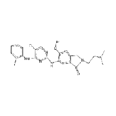 Cc1ccccc1Nc1nc(Nc2cc3c(cc2OC(C)C)CN(CCN(C)C)C3=O)ncc1Cl